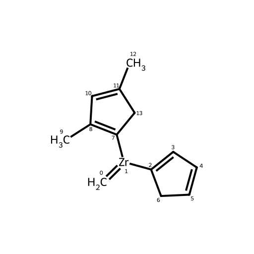 [CH2]=[Zr]([C]1=CC=CC1)[C]1=C(C)C=C(C)C1